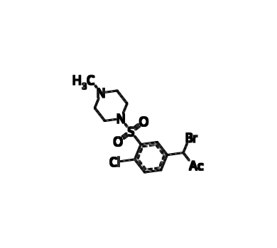 CC(=O)C(Br)c1ccc(Cl)c(S(=O)(=O)N2CCN(C)CC2)c1